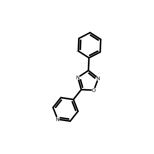 [c]1ccccc1-c1noc(-c2ccncc2)n1